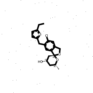 CCc1ccc(Cc2cc3c(cc2Cl)CO[C@@]32C[C@@H](O)C[C@@H](C)O2)s1